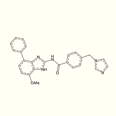 COc1ccc(-c2ccccc2)c2nc(NC(=O)c3ccc(Cn4ccnc4)cc3)[nH]c12